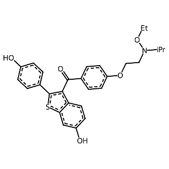 CCON(CCOc1ccc(C(=O)c2c(-c3ccc(O)cc3)sc3cc(O)ccc23)cc1)C(C)C